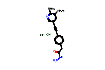 CC(=O)Nc1cc(C#Cc2ccc(CC(=O)NN)cc2)cnc1NC(C)=O.Cl.Cl